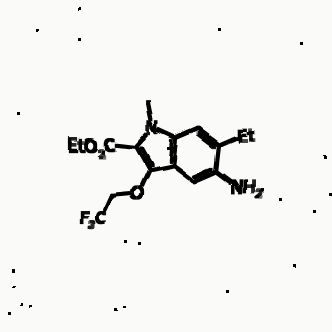 CCOC(=O)c1c(OCC(F)(F)F)c2cc(N)c(CC)cc2n1C